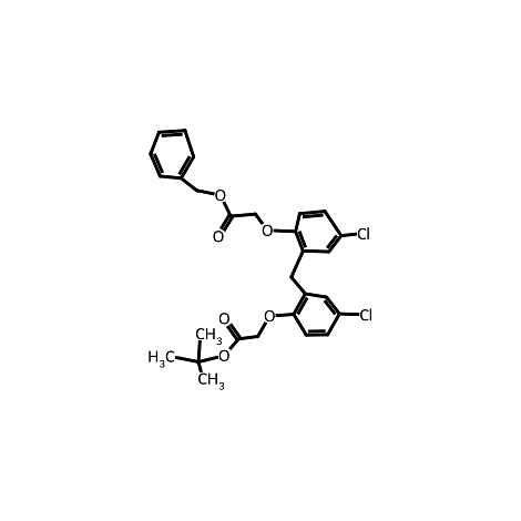 CC(C)(C)OC(=O)COc1ccc(Cl)cc1Cc1cc(Cl)ccc1OCC(=O)OCc1ccccc1